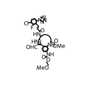 COCCOC(=O)Nc1ccc2c(c1)N[C@@H](C(=O)OC)CCCC[C@H](NC(=O)/C=C/c1c(-n3cnnn3)ccc(Cl)c1F)c1nc-2c(C=O)[nH]1